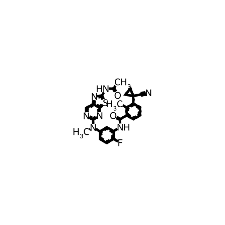 CC(=O)Nc1nc2cnc(N(C)c3ccc(F)c(NC(=O)c4cccc(C5(C#N)CC5)c4C)c3)nc2s1